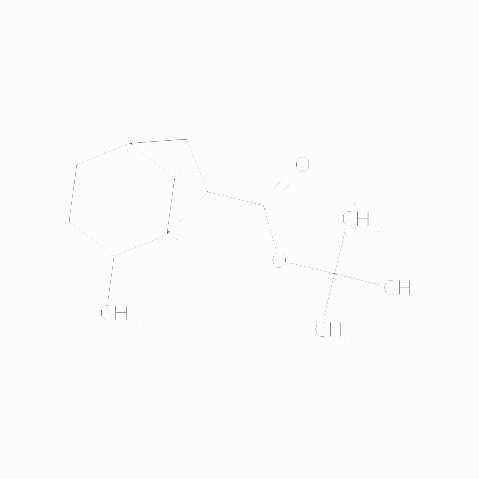 CC1CCC2CC(C(=O)OC(C)(C)C)C1C2